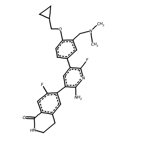 CN(C)Cc1cc(-c2cc(-c3cc4c(cc3F)C(=O)NCC4)c(N)nc2F)ccc1OCC1CC1